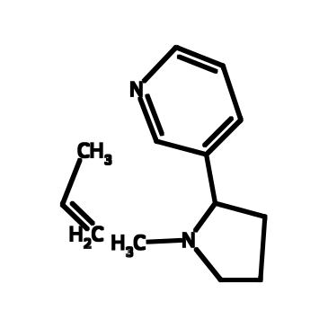 C=CC.CN1CCCC1c1cccnc1